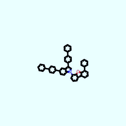 c1ccc(-c2ccc(-c3ccc4c(c3)c(-c3ccc(-c5ccccc5)cc3)cn4-c3cccc4c3oc3c(-c5ccccc5)cccc34)cc2)cc1